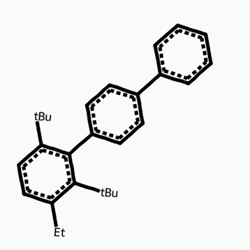 CCc1ccc(C(C)(C)C)c(-c2ccc(-c3ccccc3)cc2)c1C(C)(C)C